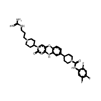 N=C(N)NCCCN1CCC(n2cc3c(nc2=O)Nc2cc(C4CCN(C(=O)Nc5cc(F)c(F)cc5F)CC4)ccc2O3)CC1